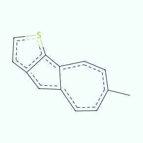 Cc1ccc2cc3ccsc3c-2cc1